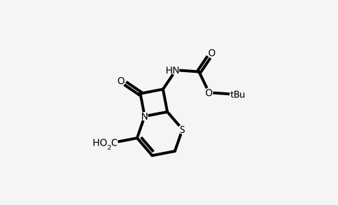 CC(C)(C)OC(=O)NC1C(=O)N2C(C(=O)O)=CCSC12